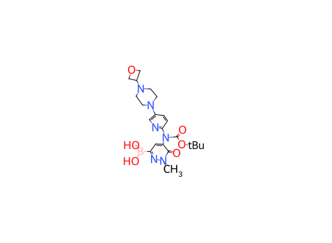 Cn1nc(B(O)O)cc(N(C(=O)OC(C)(C)C)c2ccc(N3CCN(C4COC4)CC3)cn2)c1=O